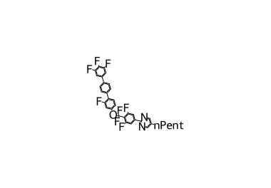 CCCCCc1cnc(-c2cc(F)c(C(F)(F)Oc3ccc(-c4ccc(-c5cc(F)c(F)c(F)c5)cc4)c(F)c3)c(F)c2)nc1